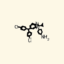 NC1CCC(n2c(C3CC3)nc3ccc(C(c4ccc(Cl)cc4)c4ccc(Cl)cc4)cc32)CC1